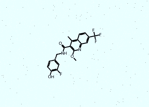 COc1nc2cc(C(F)(F)F)ccc2c(C)c1C(=O)NCc1ccc(O)c(F)c1